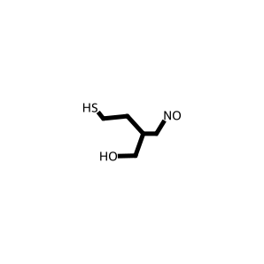 O=NCC(CO)CCS